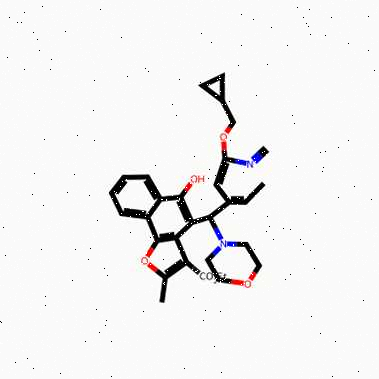 C=N/C(=C\C(=C/C)C(c1c(O)c2ccccc2c2oc(C)c(C(=O)OCC)c12)N1CCOCC1)OCC1CC1